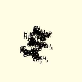 CCOC(=O)C(C)OC(=O)c1cc(Oc2ccc(C(F)(F)F)cc2Cl)ccc1[N+](=O)[O-].CCS(=O)(=O)c1cccnc1S(=O)(=O)NC(=O)Nc1nc(OC)cc(OC)n1.COc1nc(C)nc(NC(=O)NS(=O)(=O)c2ccccc2CCC(F)(F)F)n1